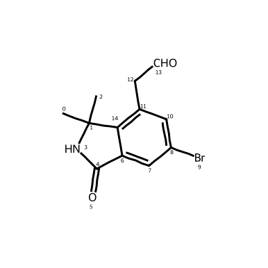 CC1(C)NC(=O)c2cc(Br)cc(CC=O)c21